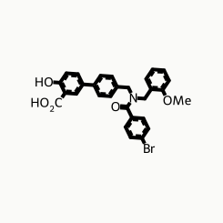 COc1ccccc1CN(Cc1ccc(-c2ccc(O)c(C(=O)O)c2)cc1)C(=O)c1ccc(Br)cc1